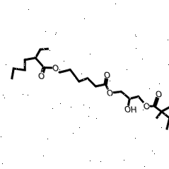 CCCCC(CC)C(=O)OCCCCCC(=O)OCC(O)COC(=O)C(C)(C)CC